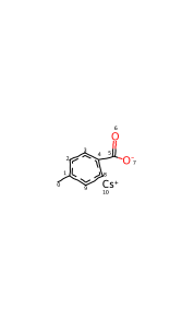 Cc1ccc(C(=O)[O-])cc1.[Cs+]